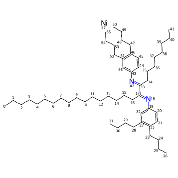 CCCCCCCCCCCCCCCCCC(=Nc1ccc(CCCC)c(CCCC)c1)C(CCCCCCCC)=Nc1ccc(CCCC)c(CCCC)c1.[Ni]